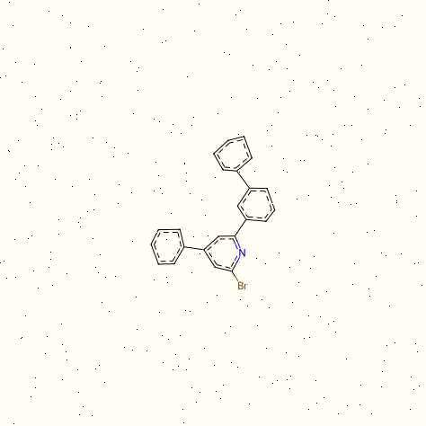 Brc1cc(-c2ccccc2)cc(-c2cccc(-c3ccccc3)c2)n1